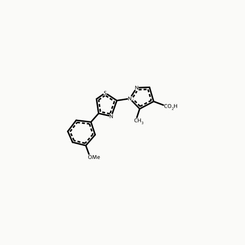 COc1cccc(-c2csc(-n3ncc(C(=O)O)c3C)n2)c1